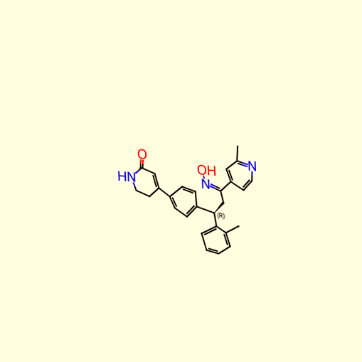 Cc1cc(C(C[C@H](c2ccc(C3=CC(=O)NCC3)cc2)c2ccccc2C)=NO)ccn1